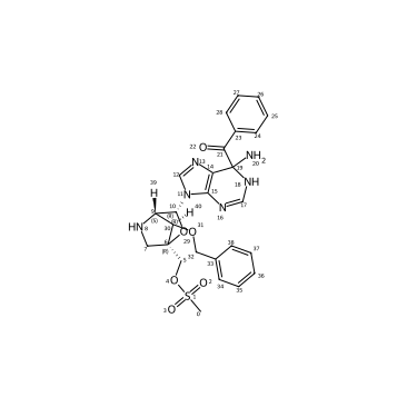 CS(=O)(=O)OC[C@@]12CN[C@H]([C@H](n3cnc4c3N=CNC4(N)C(=O)c3ccccc3)O1)[C@H]2OCc1ccccc1